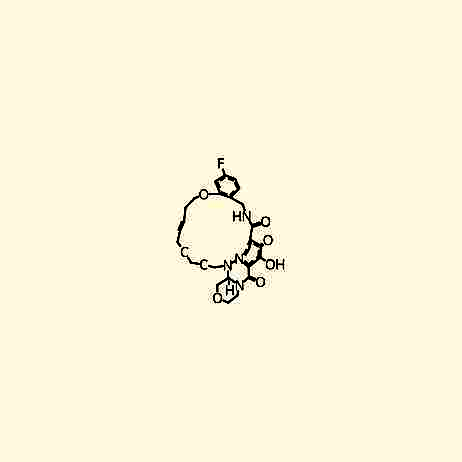 O=C1NCc2ccc(F)cc2OCC/C=C/CCCCCN2[C@H]3COCCN3C(=O)c3c(O)c(=O)c1cn32